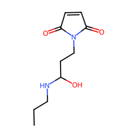 CCCNC(O)CCN1C(=O)C=CC1=O